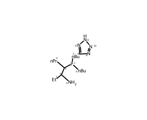 CCCCP(CCCC)C(CCC)C(N)CC.c1nn[nH]n1